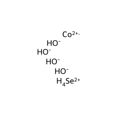 [Co+2].[OH-].[OH-].[OH-].[OH-].[SeH4+2]